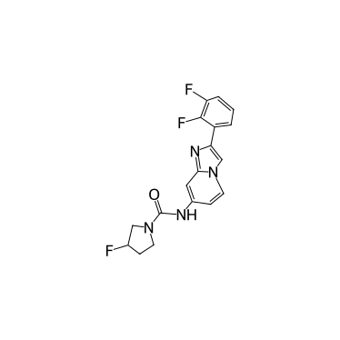 O=C(Nc1ccn2cc(-c3cccc(F)c3F)nc2c1)N1CCC(F)C1